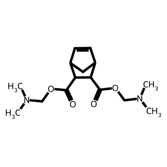 CN(C)COC(=O)C1C2C=CC(C2)C1C(=O)OCN(C)C